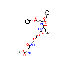 CC(=O)CCC(NC(=O)COCCOCCNC(=O)CCC(N)C(=O)OC(C)(C)C)C(=O)NC(CCC(=O)OCc1ccccc1)C(=O)OCc1ccccc1